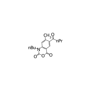 CCCCn1c(=O)oc(=O)c2cc(C(=O)CCC)c(C)cc21